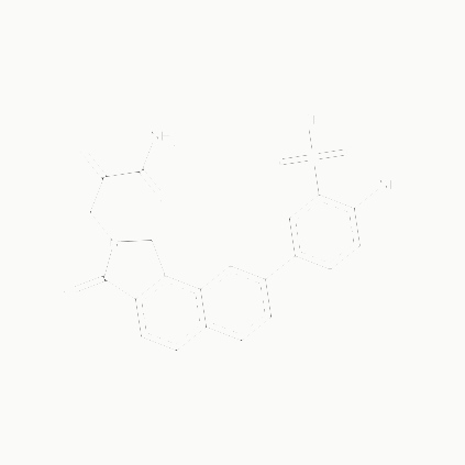 C=C(CN1Cc2c(ccc3ccc(-c4ccc(N)c(S(C)(=O)=O)c4)cc23)C1=O)C(N)=O